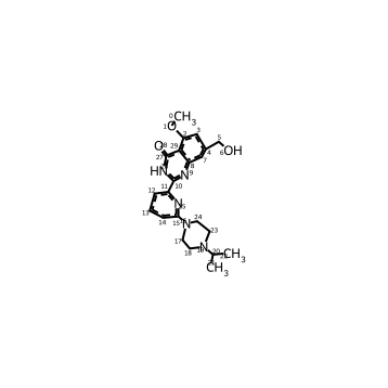 COc1cc(CO)cc2nc(-c3cccc(N4CCN(C(C)C)CC4)n3)[nH]c(=O)c12